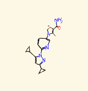 CC1=C(C(N)=O)SCN1c1ccc(-n2nc(C3CC3)cc2C2CC2)nc1